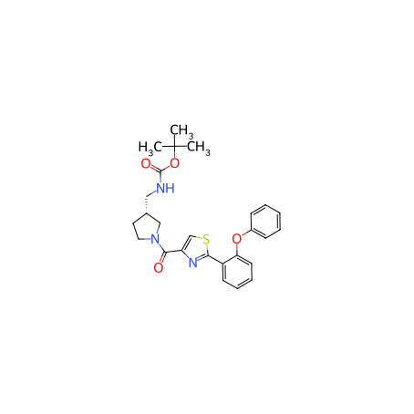 CC(C)(C)OC(=O)NC[C@H]1CCN(C(=O)c2csc(-c3ccccc3Oc3ccccc3)n2)C1